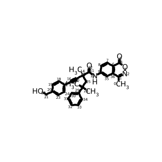 Cc1noc(=O)c2ccc(NC(=O)[C@](C)(C#Cc3ccc(CO)cc3)CC(C)(C)c3ccccc3)cc12